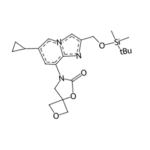 CC(C)(C)[Si](C)(C)OCc1cn2cc(C3CC3)cc(N3CC4(COC4)OC3=O)c2n1